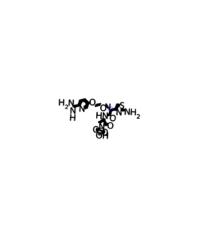 N=C(N)c1ccc(OCCO/N=C(\C(=O)N[C@H]2CN(S(=O)(=O)O)C2=O)c2csc(N)n2)cn1